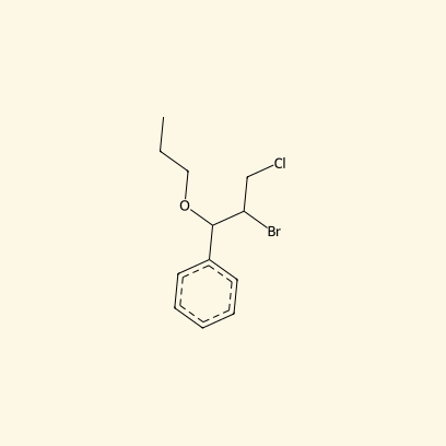 CCCOC(c1ccccc1)C(Br)CCl